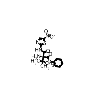 CC(C)(C)[C@@](N)(C(=O)Nc1ncc([N+](=O)[O-])s1)C(=O)Oc1ccccc1